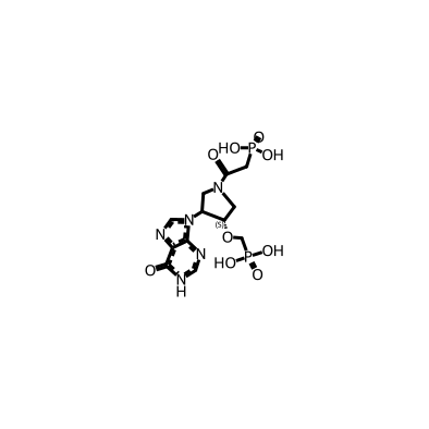 O=C(CP(=O)(O)O)N1CC(n2cnc3c(=O)[nH]cnc32)[C@@H](OCP(=O)(O)O)C1